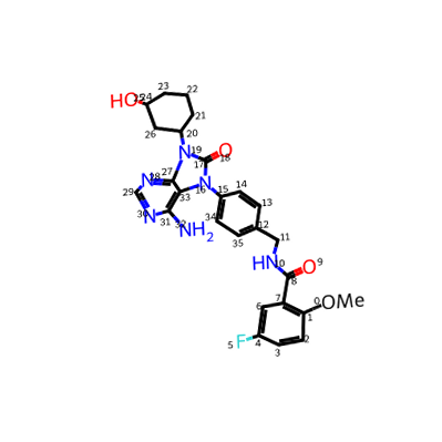 COc1ccc(F)cc1C(=O)NCc1ccc(-n2c(=O)n(C3CCCC(O)C3)c3ncnc(N)c32)cc1